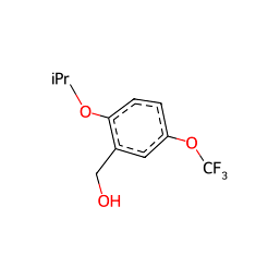 CC(C)Oc1ccc(OC(F)(F)F)cc1CO